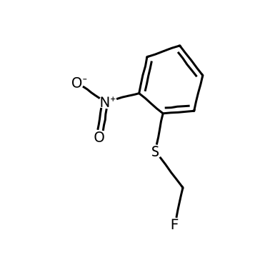 O=[N+]([O-])c1ccccc1SCF